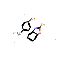 O=C(O)c1ccc(S)cc1.Sc1nc2ccccc2o1